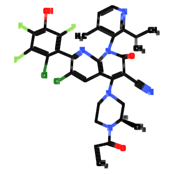 C=CC(=O)N1CCN(c2c(C#N)c(=O)n(-c3c(C)ccnc3C(C)C)c3nc(-c4c(F)c(O)c(F)c(F)c4Cl)c(Cl)cc23)C[C@H]1C